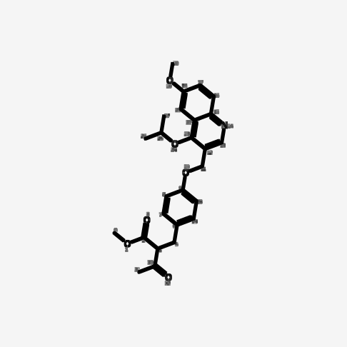 COC(=O)C(Cc1ccc(OCc2cnc3ccc(OC)cc3c2OC(C)C)cc1)C(C)=O